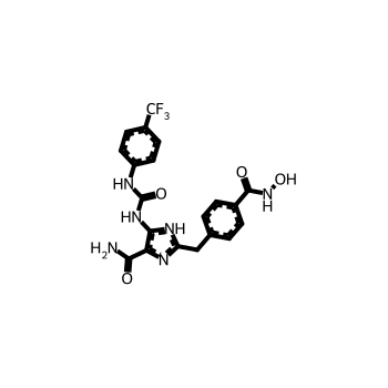 NC(=O)c1nc(Cc2ccc(C(=O)NO)cc2)[nH]c1NC(=O)Nc1ccc(C(F)(F)F)cc1